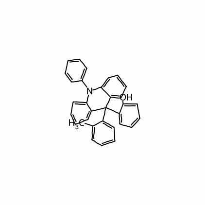 Cc1ccccc1C1(c2ccccc2O)c2ccccc2N(c2ccccc2)c2ccccc21